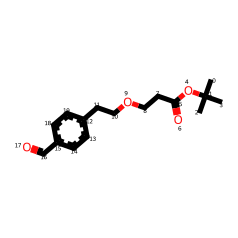 CC(C)(C)OC(=O)CCOCCc1ccc(C=O)cc1